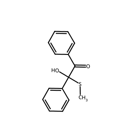 CSC(O)(C(=O)c1ccccc1)c1ccccc1